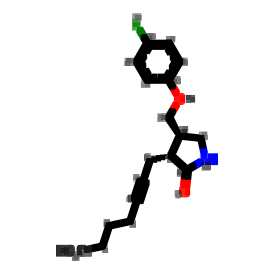 O=C(O)CCCC#CC[C@H]1C(=O)NC[C@@H]1COc1ccc(F)cc1